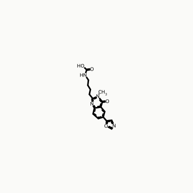 Cn1c(CCCCNC(=O)O)nc2ccc(-c3cnco3)cc2c1=O